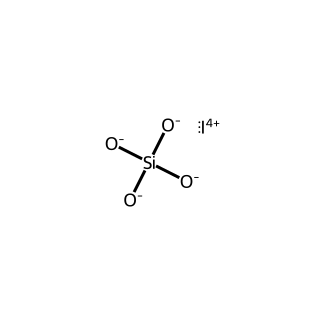 [I+4].[O-][Si]([O-])([O-])[O-]